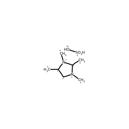 CC1CN(C)C(C)N1C.O=S(=O)(O)O